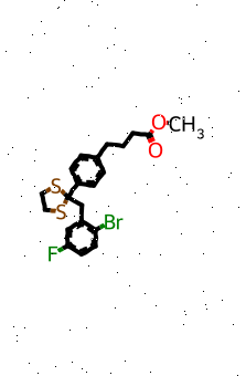 COC(=O)CCCc1ccc(C2(Cc3cc(F)ccc3Br)SCCS2)cc1